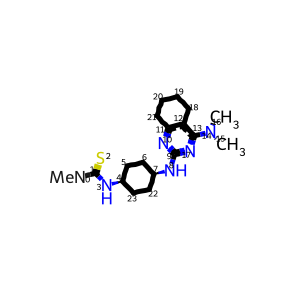 CNC(=S)N[C@H]1CC[C@@H](Nc2nc3c(c(N(C)C)n2)CCCC3)CC1